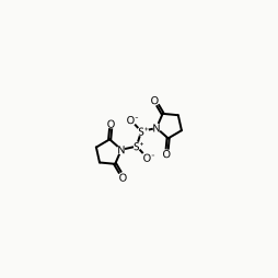 O=C1CCC(=O)N1[S+]([O-])[S+]([O-])N1C(=O)CCC1=O